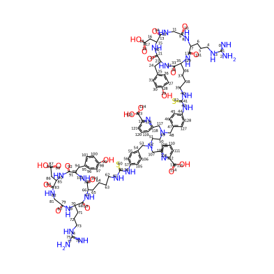 N=C(N)NCCCC1NC(=O)CNC(=O)C(CC(=O)O)NC(=O)C(Cc2ccc(O)cc2)NC(=O)C(CCCCNC(=S)Nc2ccc(CN(CCN(Cc3ccc(NC(=S)NCCCCC4NC(=O)C(CCCNC(=N)N)NC(=O)CNC(=O)C(CC(=O)O)NC(=O)C(Cc5ccc(O)cc5)NC4=O)cc3)Cc3cccc(C(=O)O)n3)Cc3cccc(C(=O)O)n3)cc2)NC1=O